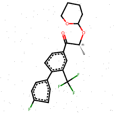 C[C@@H](OC1CCCCO1)C(=O)c1ccc(-c2ccc(F)cc2)c(C(F)(F)F)c1